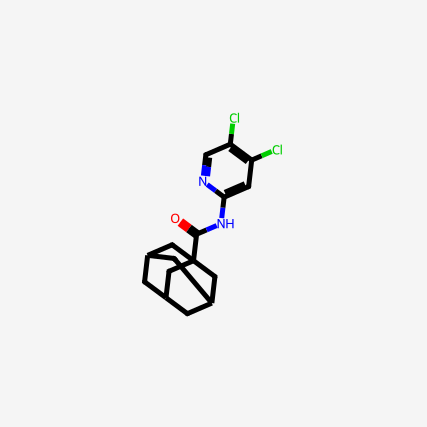 O=C(Nc1cc(Cl)c(Cl)cn1)C12CC3CC(CC(C3)C1)C2